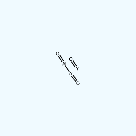 [O]=[Al][Zr]=[O].[O]=[Y]